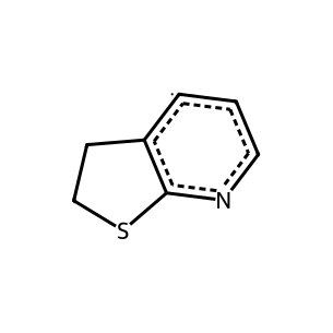 [c]1ccnc2c1CCS2